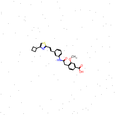 COc1cc(C(=O)O)ccc1CC(=O)Nc1cccc(/C=C/c2nc(C3CCC3)cs2)c1